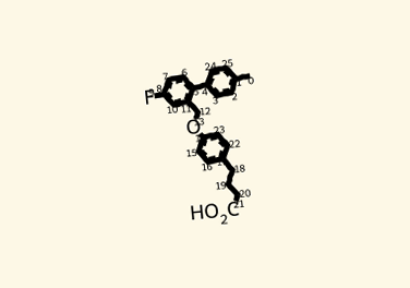 Cc1ccc(-c2ccc(F)cc2COc2ccc(CCCC(=O)O)cc2)cc1